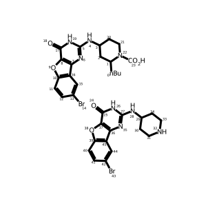 CCCCC1CC(Nc2nc3c(oc4ccc(Br)cc43)c(=O)[nH]2)CCN1C(=O)O.O=c1[nH]c(NC2CCNCC2)nc2c1oc1ccc(Br)cc12